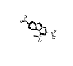 O=[N+]([O-])C1=CC2=Cc3cc([N+](=O)[O-])ccc3C2C([N+](=O)[O-])=C1